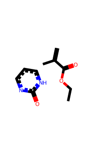 C=C(C)C(=O)OCC.O=c1nccc[nH]1